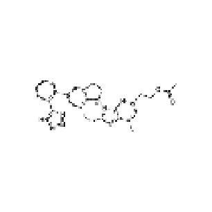 CCc1nc2c(C)cc(CCOC(C)=O)nc2n1[C@H]1CCc2cc(-c3ccccc3-c3nnn[nH]3)ccc21